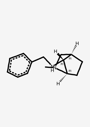 CN1C[C@H]2CC[C@@H]1[C@@H]2NCc1ccccc1